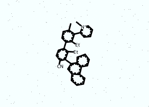 CCc1c(-c2ccc(C#N)c(-c3cc4ccccc4c4ccccc34)c2CC)ccc(C)c1-c1cccc[n+]1C